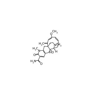 C=C1/C=C(OC)\C=C/CC[C@H]2N(C)CC[C@@]13Cc1c(cc(C(N)=O)c(=O)n1C)C[C@@]23O